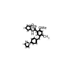 COc1cc(C)c(Cc2ccc(-n3cccn3)cc2)cc1C(=O)NC1CCCC1O